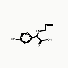 C=CCNC(C(=O)O)c1ccc(O)cc1